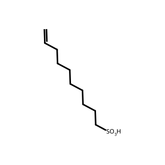 C=CCCCCCCCCS(=O)(=O)O